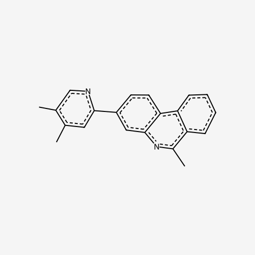 Cc1cnc(-c2ccc3c(c2)nc(C)c2ccccc23)cc1C